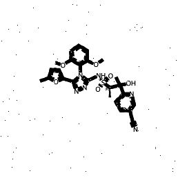 COc1cccc(OC)c1-n1c(NS(=O)(=O)[C@H](C)C(C)(O)c2ccc(C#N)cn2)nnc1-c1ccc(C)o1